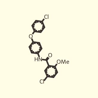 COc1ccc(Cl)cc1C(=O)Nc1ccc(Oc2ccc(Cl)cc2)cc1